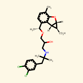 Cc1ccc([C@@H](C)OCC(O)CNC(C)(C)Cc2ccc(Cl)c(Cl)c2)c2c1O[C@@H]1[C@@H](C(=O)O)[C@H]21